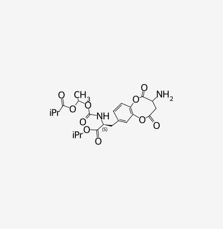 CC(C)OC(=O)[C@H](Cc1ccc2c(c1)OC(=O)CC(N)C(=O)O2)NC(=O)OC(C)OC(=O)C(C)C